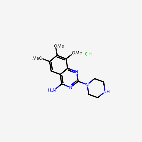 COc1cc2c(N)nc(N3CCNCC3)nc2c(OC)c1OC.Cl